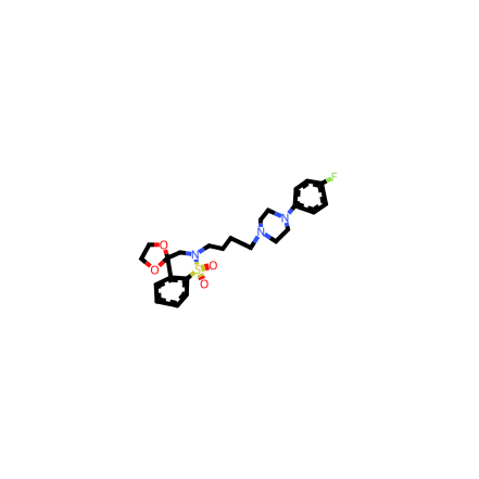 O=S1(=O)c2ccccc2C2(CN1CCCCN1CCN(c3ccc(F)cc3)CC1)OCCO2